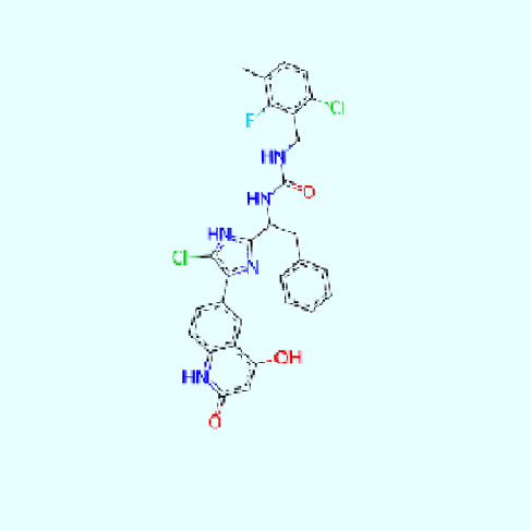 Cc1ccc(Cl)c(CNC(=O)NC(Cc2ccccc2)c2nc(-c3ccc4[nH]c(=O)cc(O)c4c3)c(Cl)[nH]2)c1F